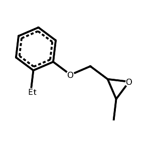 CCc1ccccc1OCC1OC1C